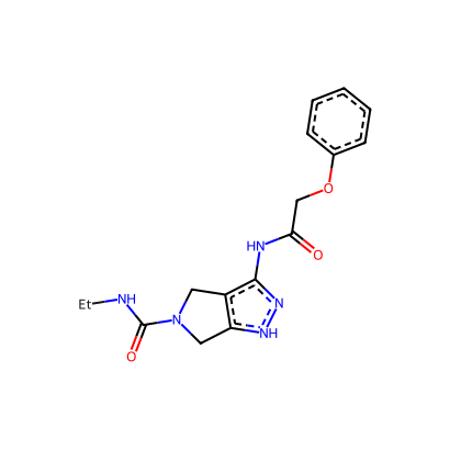 CCNC(=O)N1Cc2[nH]nc(NC(=O)COc3ccccc3)c2C1